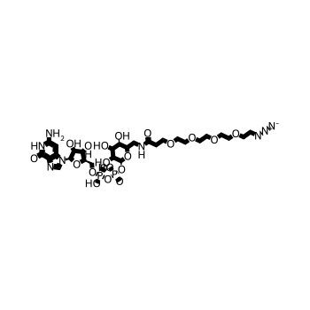 [N-]=[N+]=NCCOCCOCCOCCOCCC(=O)NCC1O[C@H](OP(=O)(O)OP(=O)(O)OC[C@H]2O[C@@H](n3cnc4c(=O)[nH]c(N)cc43)C(O)C2O)C(O)C(O)[C@@H]1O